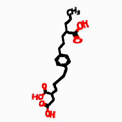 CCCC(CCCc1ccc(CCCC(CC(=O)O)C(=O)O)cc1)C(=O)O